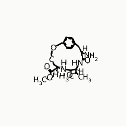 COC(=O)[C@@H]1CCCOc2ccc(cc2)C[C@H](N)C(=O)N[C@@H](C(C)C)C(=O)N1